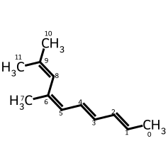 CC=CC=CC=C(C)C=C(C)C